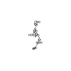 [N-]=[N+]=NCCCCC(=O)Nc1ccc(CCOc2ccc(C(CC(=O)O)N3CCN(CCCc4ccc5c(n4)NCCC5)C3=O)cc2F)cc1